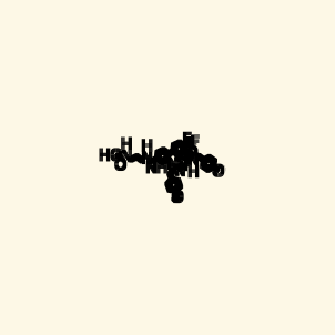 COc1ccc(CNS(=O)(=O)c2c(C(F)(F)F)ccc(-c3ccc(C(=N)NCCCNC(=O)O)cc3)c2-c2nnn(Cc3ccc(OC)cc3)n2)cc1